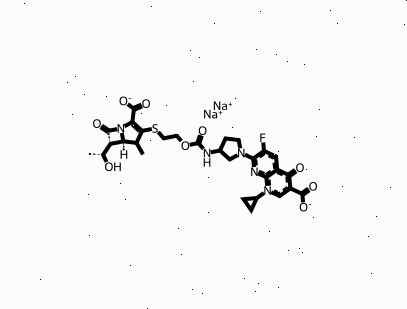 CC1C(SCCOC(=O)NC2CCN(c3nc4c(cc3F)c(=O)c(C(=O)[O-])cn4C3CC3)C2)=C(C(=O)[O-])N2C(=O)[C@@H]([C@@H](C)O)[C@H]12.[Na+].[Na+]